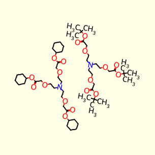 CC(C)(C)OC(=O)COCCN(CCOCC(=O)OC(C)(C)C)CCOCC(=O)OC(C)(C)C.O=C(COCCN(CCOCC(=O)OC1CCCCC1)CCOCC(=O)OC1CCCCC1)OC1CCCCC1